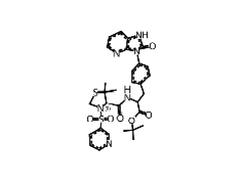 CC(C)(C)OC(=O)C(Cc1ccc(-n2c(=O)[nH]c3cccnc32)cc1)NC(=O)[C@H]1N(S(=O)(=O)c2cccnc2)CSC1(C)C